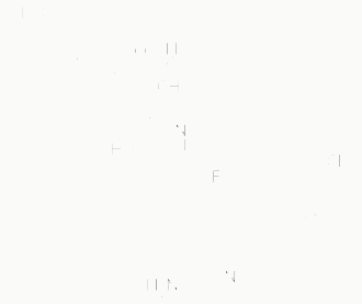 CCOC(=O)CC(C)(C)NC(CC)c1ccc(Cl)c(C(=O)c2ccc(N)nc2)c1F